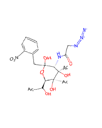 CC(=O)C(O)[C@H]1OC(O)(Cc2ccccc2[N+](=O)[O-])[C@H](NC(=O)CN=[N+]=[N-])[C@](O)(C(C)=O)[C@]1(O)C(C)=O